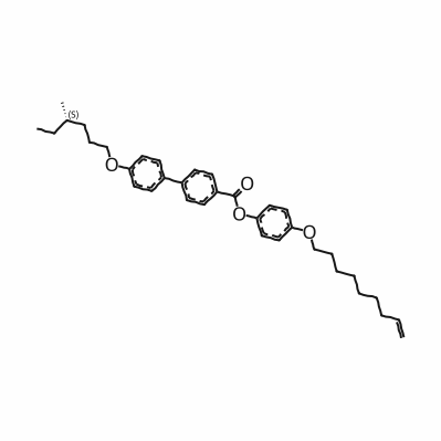 C=CCCCCCCCOc1ccc(OC(=O)c2ccc(-c3ccc(OCCC[C@@H](C)CC)cc3)cc2)cc1